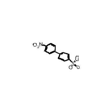 O=[N+]([O-])c1ccc(-c2ccc(S(=O)(=O)Cl)cc2)cc1